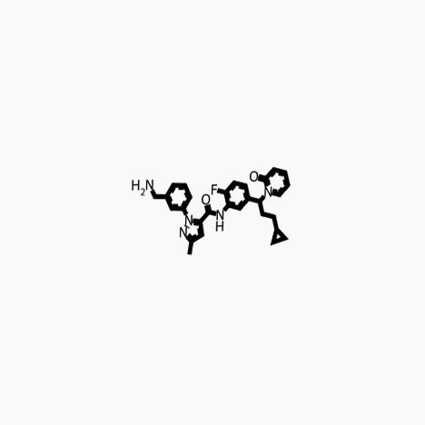 Cc1cc(C(=O)Nc2cc(C(CCC3CC3)n3ccccc3=O)ccc2F)n(-c2cccc(CN)c2)n1